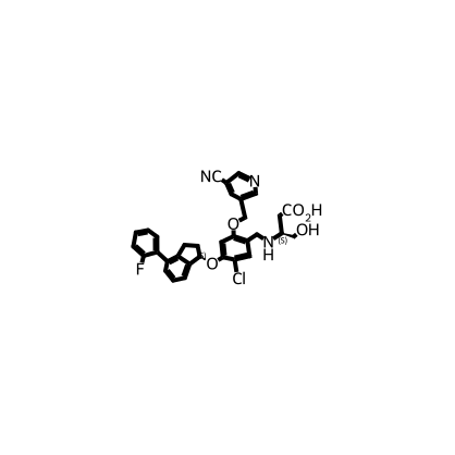 N#Cc1cncc(COc2cc(O[C@H]3CCc4c(-c5ccccc5F)cccc43)c(Cl)cc2CN[C@H](CO)CC(=O)O)c1